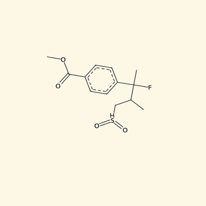 COC(=O)c1ccc(C(C)(F)C(C)C[SH](=O)=O)cc1